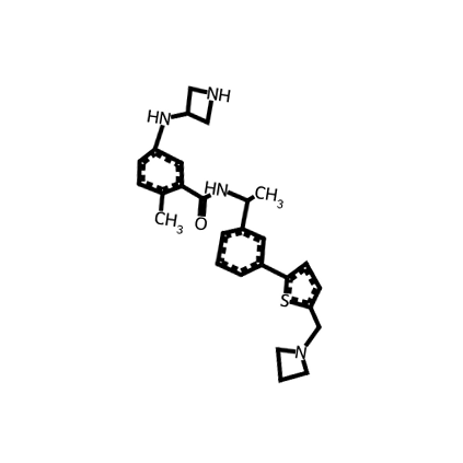 Cc1ccc(NC2CNC2)cc1C(=O)NC(C)c1cccc(-c2ccc(CN3CCC3)s2)c1